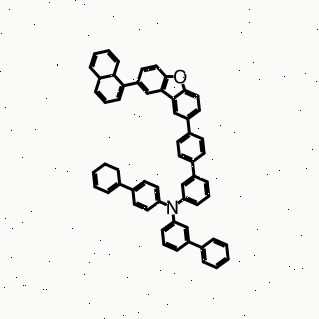 C1=CCCC(c2ccc(N(c3cccc(-c4ccccc4)c3)c3cccc(-c4ccc(-c5ccc6oc7ccc(C8=CC=CC9C=CC=CC89)cc7c6c5)cc4)c3)cc2)=C1